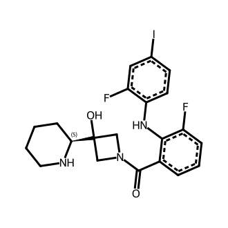 O=C(c1cccc(F)c1Nc1ccc(I)cc1F)N1CC(O)([C@@H]2CCCCN2)C1